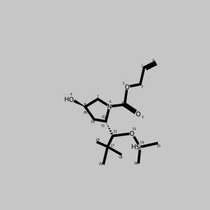 C=CCOC(=O)N1C[C@H](O)C[C@H]1C(O[SiH](C)C)C(C)(C)C